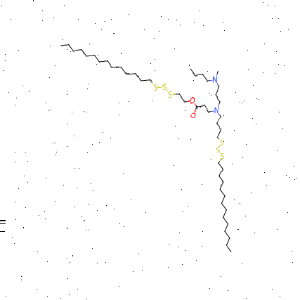 CCCCCCCCCCCCCCSSSCCCCN(CCCN(C)CCCC)CCC(=O)OCCSSSCCCCCCCCCCCCCC